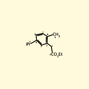 CCOC(=O)Cc1cc(C(C)C)ccc1C